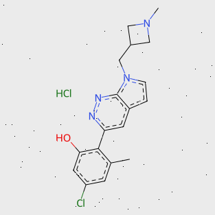 Cc1cc(Cl)cc(O)c1-c1cc2ccn(CC3CN(C)C3)c2nn1.Cl